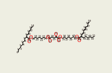 CCCCCCCCC(CCCCCC)C(=O)OCCCCCCCOC(=O)CCC(=O)C(=O)OCCCCCCCOC(=O)C(CCCCCC)CCCCCCCC